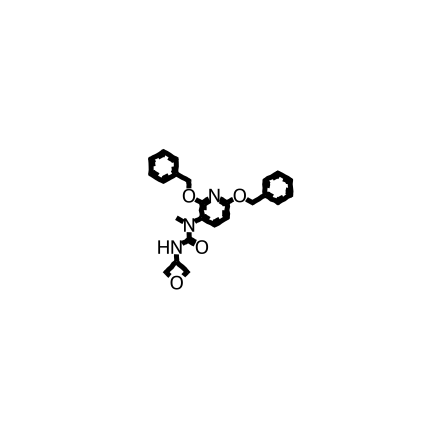 CN(C(=O)NC1COC1)c1ccc(OCc2ccccc2)nc1OCc1ccccc1